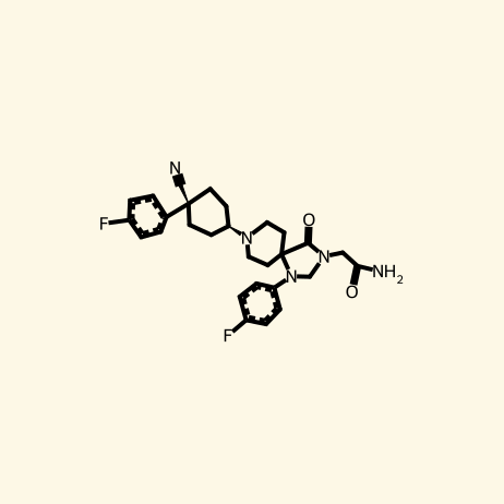 N#C[C@]1(c2ccc(F)cc2)CC[C@H](N2CCC3(CC2)C(=O)N(CC(N)=O)CN3c2ccc(F)cc2)CC1